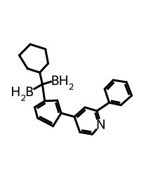 BC(B)(c1cccc(-c2ccnc(-c3ccccc3)c2)c1)C1CCCCC1